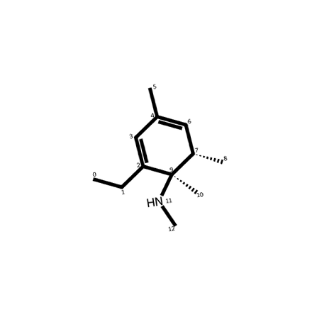 CCC1=CC(C)=C[C@H](C)[C@@]1(C)NC